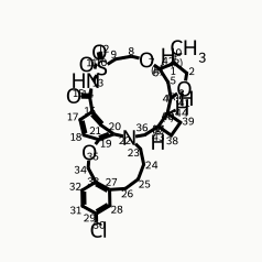 C[C@@H]1CO[C@@H]2C[C@H]1OCCS(=O)(=O)NC(=O)c1ccc3c(c1)N(CCCCc1cc(Cl)ccc1CO3)C[C@@H]1CC[C@H]12